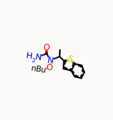 CCCCON(C(N)=O)C(C)c1cc2ccccc2s1